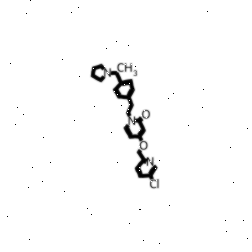 CC(c1ccc(CCn2ccc(OCc3ccc(Cl)cn3)cc2=O)cc1)N1CCCC1